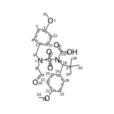 COc1ccc(CN(CC=O)S(=O)(=O)N(C(=O)O)C(c2ccc(OC)cc2)C(C)(C)C)cc1